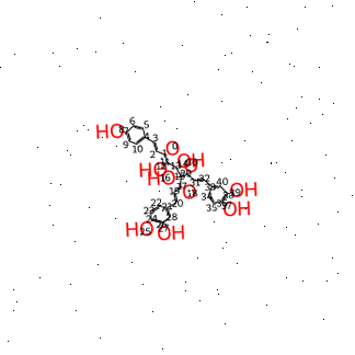 O=C(/C=C/c1ccc(O)cc1)C(O)C(O)C(O)(C(=O)/C=C/c1ccc(O)c(O)c1)C(=O)/C=C/c1ccc(O)c(O)c1